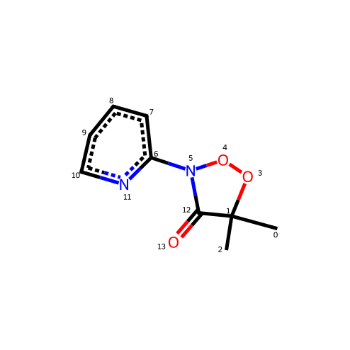 CC1(C)OON(c2ccccn2)C1=O